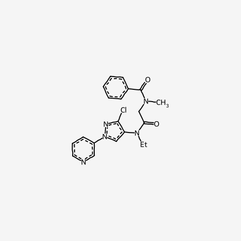 CCN(C(=O)CN(C)C(=O)c1ccccc1)c1cn(-c2cccnc2)nc1Cl